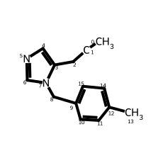 CCCc1cncn1Cc1ccc(C)cc1